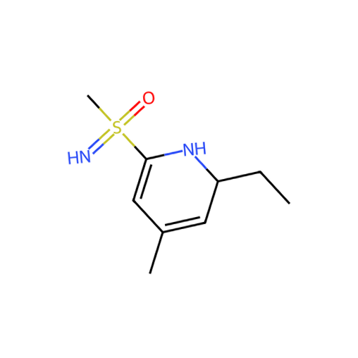 CCC1C=C(C)C=C(S(C)(=N)=O)N1